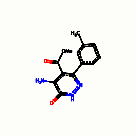 COC(=O)c1c(-c2cccc(C)c2)n[nH]c(=O)c1N